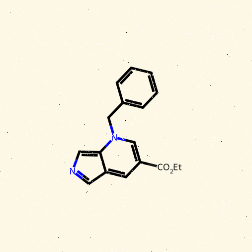 CCOC(=O)c1cc2cncc-2n(Cc2ccccc2)c1